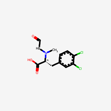 CN(BC=O)[C@H](Cc1ccc(Cl)c(Cl)c1)C(=O)O